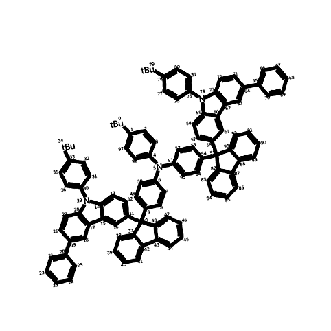 CC(C)(C)c1ccc(N(c2ccc(C3(c4ccc5c(c4)c4cc(-c6ccccc6)ccc4n5-c4ccc(C(C)(C)C)cc4)c4ccccc4-c4ccccc43)cc2)c2ccc(C3(c4ccc5c(c4)c4cc(-c6ccccc6)ccc4n5-c4ccc(C(C)(C)C)cc4)c4ccccc4-c4ccccc43)cc2)cc1